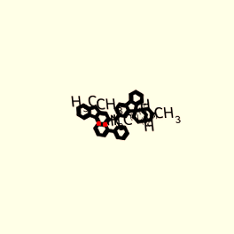 C[C@H]1C[C@@H]2C[C@H](C1)C1(c3ccccc3-c3ccc(N(c4ccc5c(c4)C(C)(C)c4ccccc4-5)c4ccccc4-c4ccccc4)cc31)[C@H](C)C2